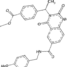 COc1ccc(CNC(=O)c2ccc3[nH]c(=O)n(C(C)c4ccc(C(=O)OCCl)cc4)c(=O)c3c2)cc1